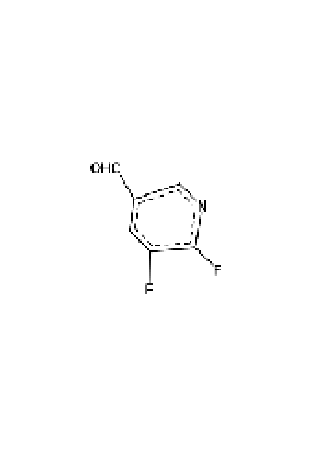 O=Cc1cnc(F)c(F)c1